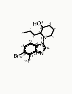 CCCC1C(O)CCCN1n1cnc2c(F)c(Br)ccc21